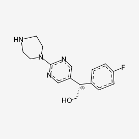 OC[C@@H](c1ccc(F)cc1)c1cnc(N2CCNCC2)nc1